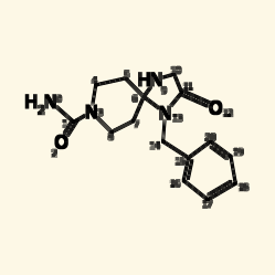 NC(=O)N1CCC2(CC1)NCC(=O)N2Cc1ccccc1